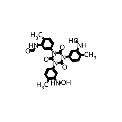 Cc1ccc(-n2c(=O)n(-c3ccc(C)c(NO)c3)c(=O)n(-c3ccc(C)c(NC=O)c3)c2=O)cc1NO